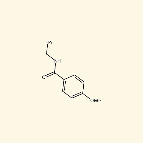 [CH2]C(C)CNC(=O)c1ccc(OC)cc1